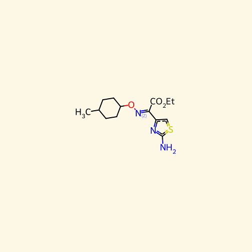 CCOC(=O)/C(=N\OC1CCC(C)CC1)c1csc(N)n1